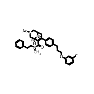 CC(=O)N1CC2CC(c3ccc(CCCOc4cccc(Cl)c4)cc3)=C(C(=O)N(C)CCc3ccccc3)[C@@H](C1)N2